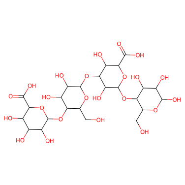 O=C(O)C1OC(OC2C(CO)OC(OC3C(O)C(OC4C(CO)OC(O)C(O)C4O)OC(C(=O)O)C3O)C(O)C2O)C(O)C(O)C1O